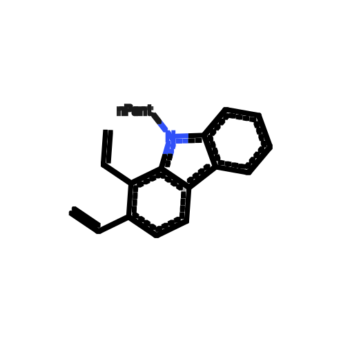 C=Cc1ccc2c3ccccc3n(CCCCC)c2c1C=C